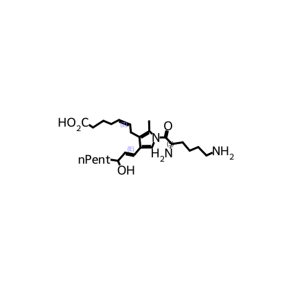 CCCCCC(O)/C=C/c1cn(C(=O)[C@@H](N)CCCCN)c(C)c1C/C=C\CCCC(=O)O